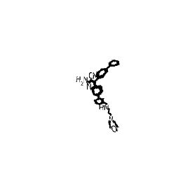 N#Cc1c(N)nc2cc(-c3cccc(CNCCCN4CCOCC4)c3)ccc2c1-c1ccc(-c2ccccc2)cc1